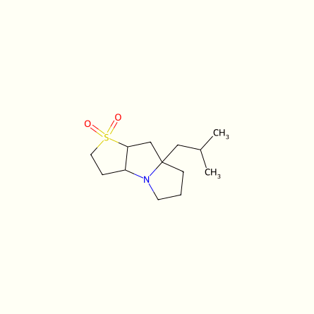 CC(C)CC12CCCN1C1CCS(=O)(=O)C1C2